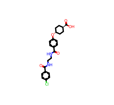 O=C(NCCNC(=O)c1ccc(O[C@H]2CC[C@H](C(=O)O)CC2)cc1)c1ccc(Cl)cc1